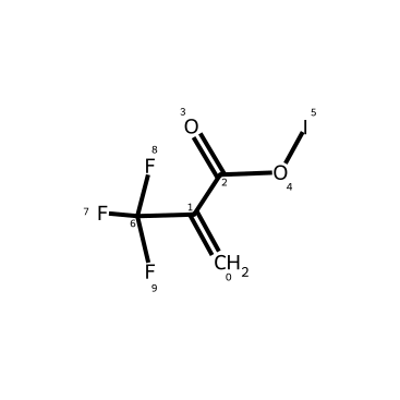 C=C(C(=O)OI)C(F)(F)F